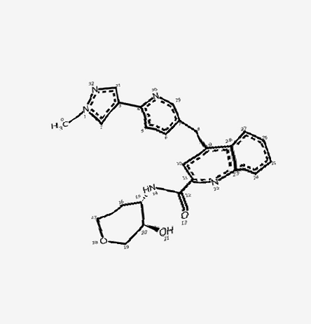 Cn1cc(-c2ccc(Cc3cc(C(=O)N[C@H]4CCOC[C@@H]4O)nc4ccccc34)cn2)cn1